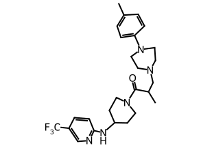 Cc1ccc(N2CCN(CC(C)C(=O)N3CCC(Nc4ccc(C(F)(F)F)cn4)CC3)CC2)cc1